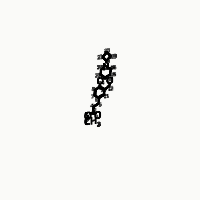 COC(=O)CCc1ccc2c(c1)COC1(CCN(C3CCC3)CC1)O2